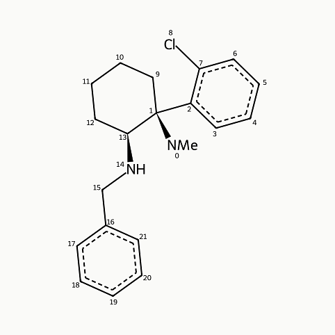 CN[C@]1(c2ccccc2Cl)CCCC[C@@H]1NCc1ccccc1